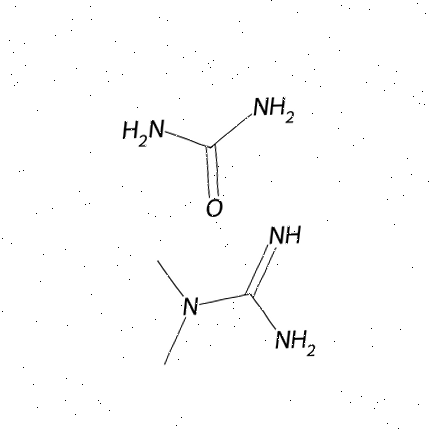 CN(C)C(=N)N.NC(N)=O